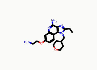 CCc1nc2c(N)nc3cc(OCCN)ccc3c2n1CC1CCOCC1